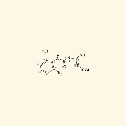 CCCCNC(=N)NC(=O)Nc1c(CC)cccc1CC